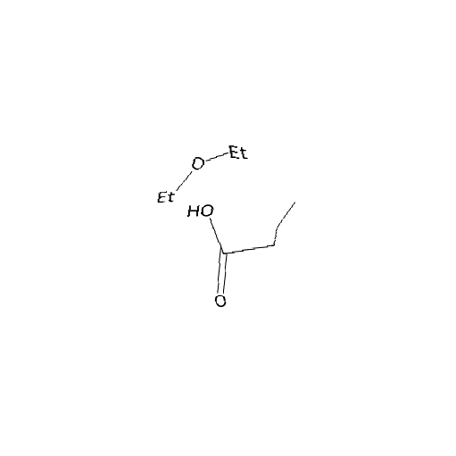 CCC(=O)O.CCOCC